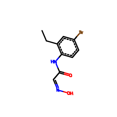 CCc1cc(Br)ccc1NC(=O)/C=N\O